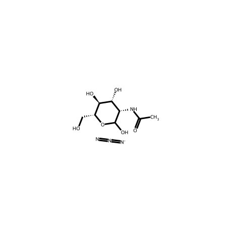 CC(=O)N[C@@H]1C(O)O[C@H](CO)[C@@H](O)[C@@H]1O.[N-]=[N+]=[N-]